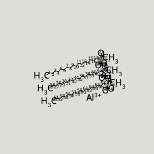 CCCCCCCCCCCCCCCCCCC(C(C)=O)C(=O)[O-].CCCCCCCCCCCCCCCCCCC(C(C)=O)C(=O)[O-].CCCCCCCCCCCCCCCCCCC(C(C)=O)C(=O)[O-].[Al+3]